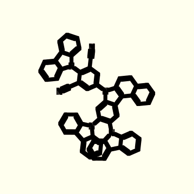 N#Cc1cc(-n2c3cc(-n4c5ccccc5c5ccccc54)c(-n4c5ccccc5c5ccccc54)cc3c3c4ccccc4ccc32)cc(C#N)c1-n1c2ccccc2c2ccccc21